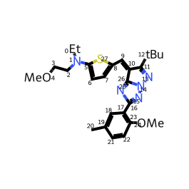 CCN(CCOC)c1ccc(/C=c2/c(C(C)(C)C)nn3nc(-c4cc(C)ccc4OC)nc23)s1